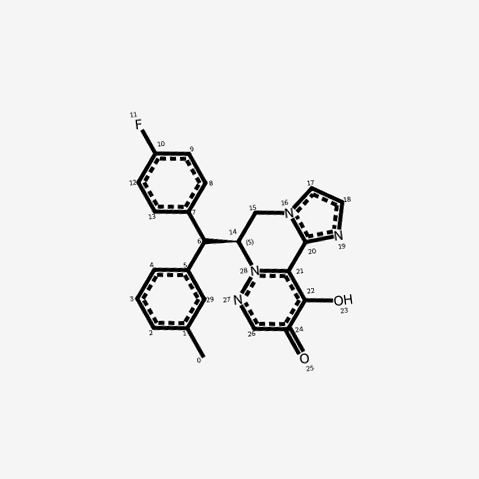 Cc1cccc(C(c2ccc(F)cc2)[C@H]2Cn3ccnc3-c3c(O)c(=O)cnn32)c1